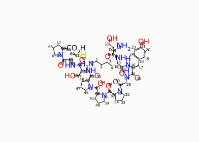 NCCCC[C@H](NC(=O)[C@@H](N)CO)C(=O)N[C@@H](Cc1ccc(O)cc1)C(=O)NCC(=O)N1CCC[C@H]1C(=O)N1CCC[C@H]1C(=O)N1CCC[C@H]1C(=O)N[C@@H](CO)C(=O)N[C@@H](CS)C(=O)N1CCC[C@H]1C(=O)O